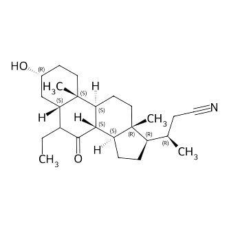 CCC1C(=O)[C@@H]2[C@H](CC[C@]3(C)[C@@H]([C@H](C)CC#N)CC[C@@H]23)[C@@]2(C)CC[C@@H](O)C[C@@H]12